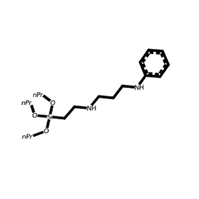 CCCO[Si](CCNCCCNc1ccccc1)(OCCC)OCCC